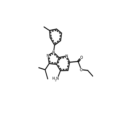 CCOC(=O)c1cc(N)c2c(C(C)C)nn(-c3cccc(C)c3)c2n1